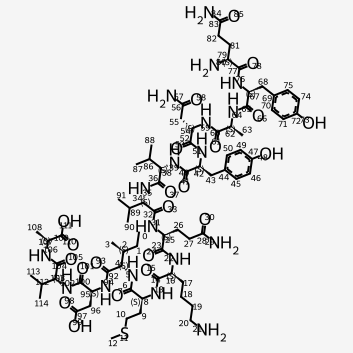 CC[C@H](C)[C@H](NC(=O)[C@H](CCSC)NC(=O)[C@H](CCCCN)NC(=O)[C@H](CCC(N)=O)NC(=O)[C@@H](NC(=O)[C@@H](NC(=O)[C@H](Cc1ccc(O)cc1)NC(=O)[C@H](CC(N)=O)NC(=O)[C@H](C)NC(=O)[C@H](Cc1ccc(O)cc1)NC(=O)[C@@H](N)CCC(N)=O)C(C)C)C(C)C)C(=O)N[C@@H](CC(=O)O)C(=O)N[C@H](C(=O)N[C@@H](C)C(=O)O)C(C)C